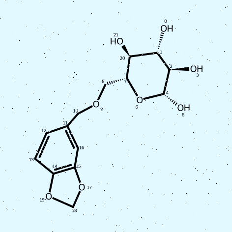 O[C@@H]1[C@@H](O)[C@H](O)O[C@H](COCc2ccc3c(c2)OCO3)[C@H]1O